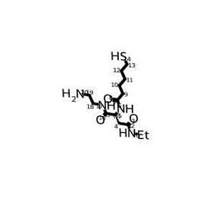 CCNC(=O)C[C@H](NC(=O)CCCCCS)C(=O)NCCN